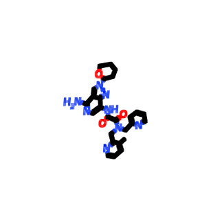 Cc1cccnc1CN(Cc1ccccn1)C(=O)C(=O)Nc1cnc(N)c2cn(C3CCCCO3)nc12